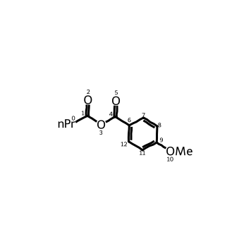 CCCC(=O)OC(=O)c1ccc(OC)cc1